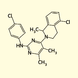 Cc1nc(Nc2ccc(Cl)cc2)nc(N2CCc3c(Cl)cccc3C2C)c1C